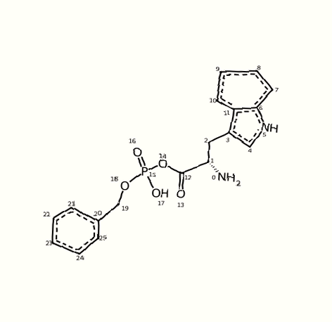 N[C@@H](Cc1c[nH]c2ccccc12)C(=O)OP(=O)(O)OCc1ccccc1